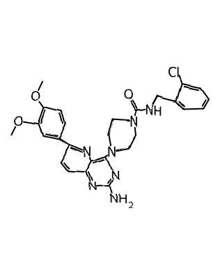 COc1ccc(-c2ccc3nc(N)nc(N4CCN(C(=O)NCc5ccccc5Cl)CC4)c3n2)cc1OC